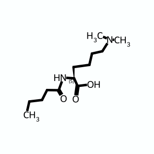 CCCCC(=O)N[C@@H](CCCCN(C)C)C(=O)O